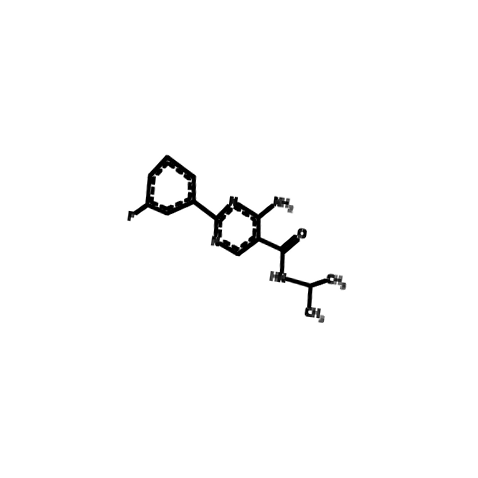 CC(C)NC(=O)c1cnc(-c2cccc(F)c2)nc1N